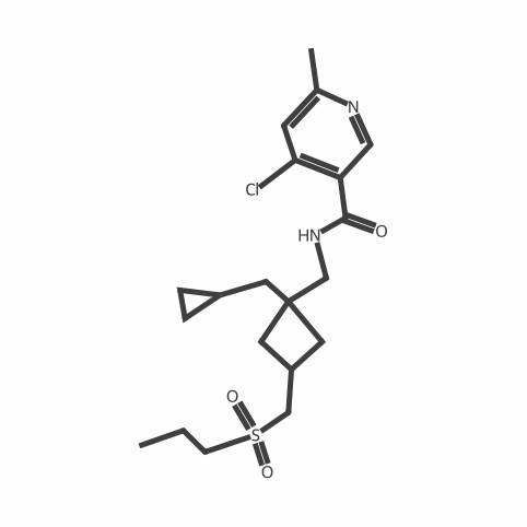 CCCS(=O)(=O)CC1CC(CNC(=O)c2cnc(C)cc2Cl)(CC2CC2)C1